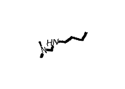 CCCCNCN(C)C